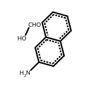 Nc1ccc2ccccc2c1.O=CO